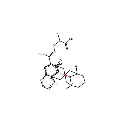 CC(O/N=C(\C(=O)O)c1nc2ccccc2n([C@H]2C[C@H]3CCC[C@@H](C2)N3C2C[C@H]3CCC[C@@H](C2)C3)c1=O)C(N)=O